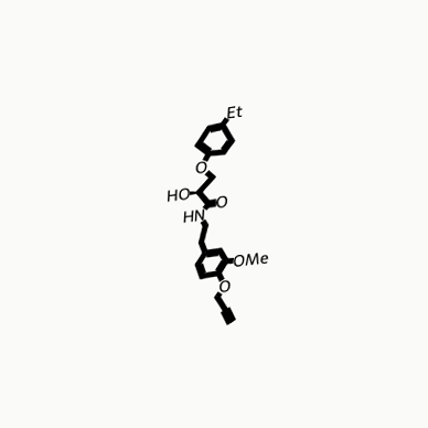 C#CCOc1ccc(CCNC(=O)[C@@H](O)COc2ccc(CC)cc2)cc1OC